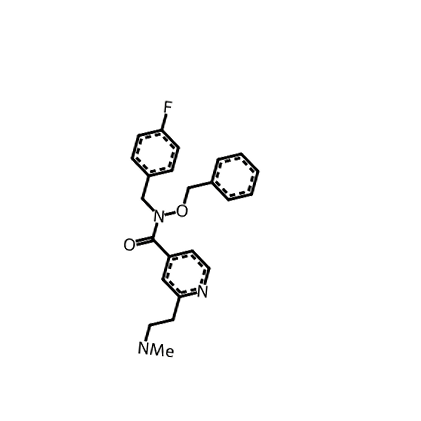 CNCCc1cc(C(=O)N(Cc2ccc(F)cc2)OCc2ccccc2)ccn1